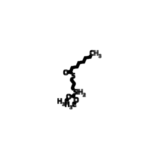 CCCCCCCC(=O)SCCC[SiH2]C(OC)OC